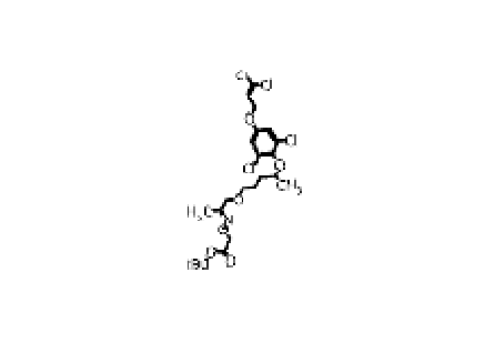 CC(COCCCC(C)Oc1c(Cl)cc(OCC=C(Cl)Cl)cc1Cl)=NOCC(=O)OC(C)(C)C